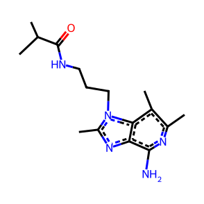 Cc1nc(N)c2nc(C)n(CCCNC(=O)C(C)C)c2c1C